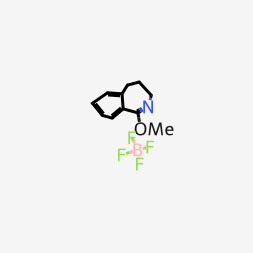 COC1=NCCCc2ccccc21.F[B-](F)(F)F